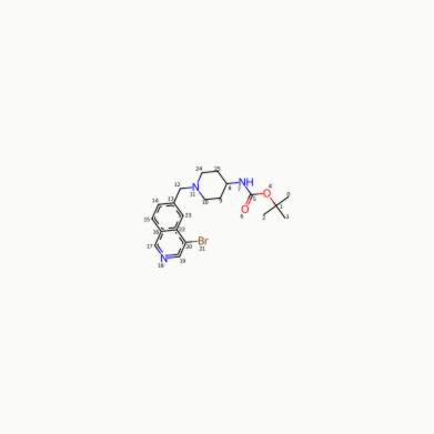 CC(C)(C)OC(=O)NC1CCN(Cc2ccc3cncc(Br)c3c2)CC1